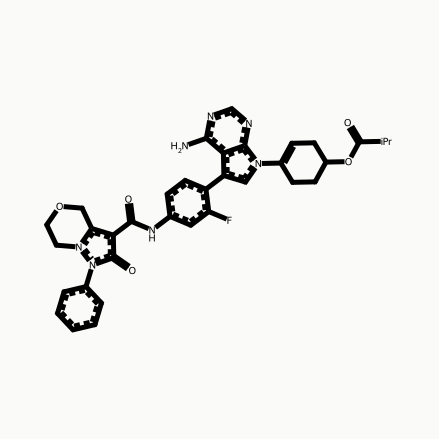 CC(C)C(=O)OC1CC=C(n2cc(-c3ccc(NC(=O)c4c5n(n(-c6ccccc6)c4=O)CCOC5)cc3F)c3c(N)ncnc32)CC1